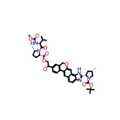 COC(=O)N[C@H](C(=O)N1[C@@H](C)CC[C@H]1C(=O)OCC(=O)c1ccc2c(c1)COc1cc3c(ccc4nc([C@@H]5C[C@H](C)CN5C(=O)OC(C)(C)C)[nH]c43)cc1-2)C(C)C